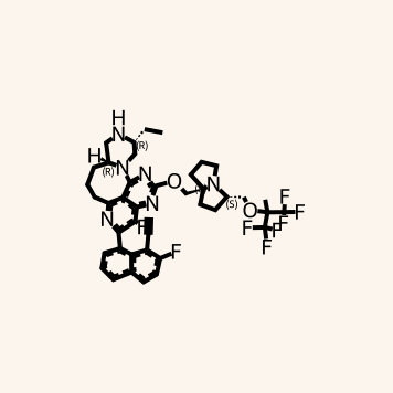 C#Cc1c(F)ccc2cccc(-c3nc4c5c(nc(OC[C@@]67CCCN6[C@H](COC(C)(C(F)(F)F)C(F)(F)F)CC7)nc5c3F)N3C[C@@H](CC)NC[C@H]3CCC4)c12